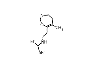 CCCC(CC)NCCC1=C(C)CC=NCO1